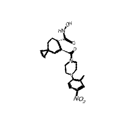 Cc1cc([N+](=O)[O-])ccc1N1CCN(C(=O)[C@H]2CC3(CC[C@@H]2C(=O)NO)CC3)CC1